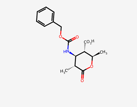 C[C@H]1OC(=O)[C@H](C)[C@@H](NC(=O)OCc2ccccc2)[C@@H]1C(=O)O